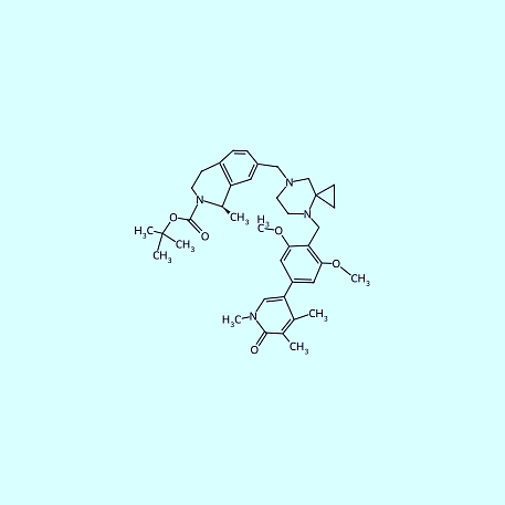 COc1cc(-c2cn(C)c(=O)c(C)c2C)cc(OC)c1CN1CCN(Cc2ccc3c(c2)[C@@H](C)N(C(=O)OC(C)(C)C)CC3)CC12CC2